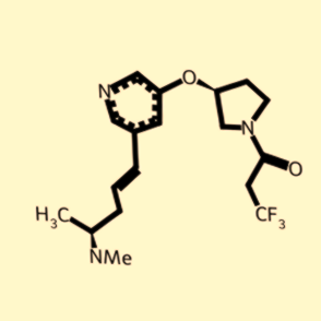 CN[C@@H](C)C/C=C/c1cncc(O[C@H]2CCN(C(=O)CC(F)(F)F)C2)c1